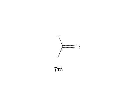 C=C(C)C.[Pb]